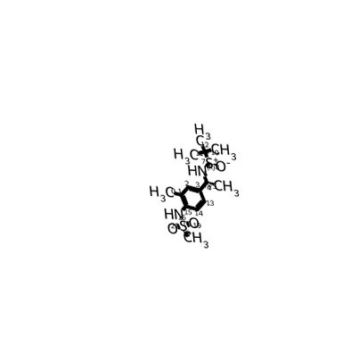 Cc1cc([C@H](C)N[S@@+]([O-])C(C)(C)C)ccc1NS(C)(=O)=O